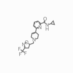 O=C(NC1CC1)c1cccc(C2=CCN(CC3CC(C(F)(F)F)=NO3)CC2)n1